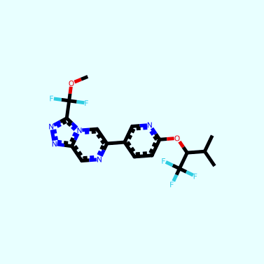 COC(F)(F)c1nnc2cnc(-c3ccc(OC(C(C)C)C(F)(F)F)nc3)cn12